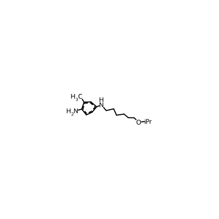 Cc1cc(NCCCCCCOC(C)C)ccc1N